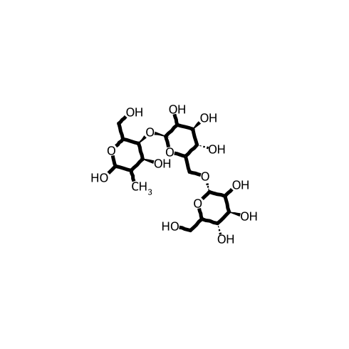 CC1C(O)OC(CO)[C@@H](O[C@@H]2OC(CO[C@H]3OC(CO)[C@@H](O)[C@H](O)C3O)[C@@H](O)[C@H](O)C2O)[C@H]1O